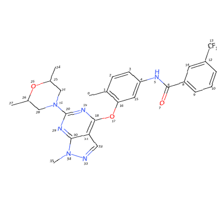 Cc1ccc(NC(=O)c2cccc(C(F)(F)F)c2)cc1Oc1nc(N2CC(C)OC(C)C2)nc2c1cnn2C